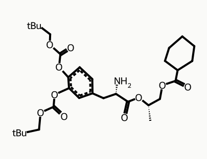 C[C@@H](COC(=O)C1CCCCC1)OC(=O)[C@@H](N)Cc1ccc(OC(=O)OCC(C)(C)C)c(OC(=O)OCC(C)(C)C)c1